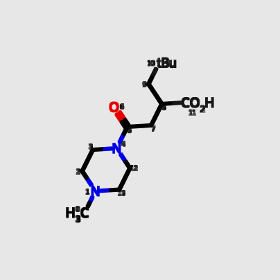 CN1CCN(C(=O)CC(CC(C)(C)C)C(=O)O)CC1